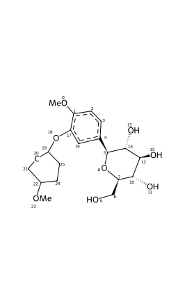 COc1ccc([C@@H]2O[C@H](CO)[C@@H](O)[C@H](O)[C@H]2O)cc1OC1CCC(OC)CC1